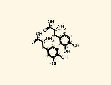 N[C@@H](Cc1ccc(O)c(O)c1)C(=O)O.N[C@H](Cc1ccc(O)c(O)c1)C(=O)O